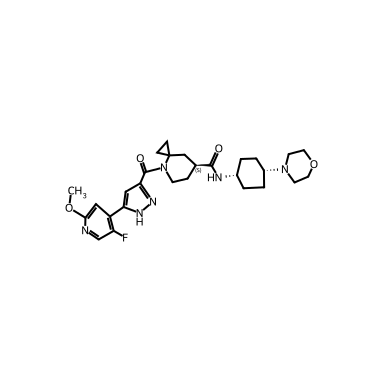 COc1cc(-c2cc(C(=O)N3CC[C@H](C(=O)N[C@H]4CC[C@@H](N5CCOCC5)CC4)CC34CC4)n[nH]2)c(F)cn1